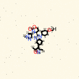 [2H]CO[C@H]1CC[C@H](n2c([C@@H]3CCOC(=O)N3c3cnn(C)c3)nc3cc(-c4c(C)noc4C)ccc32)CC1